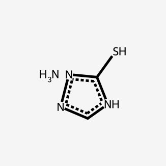 N.Sc1nnc[nH]1